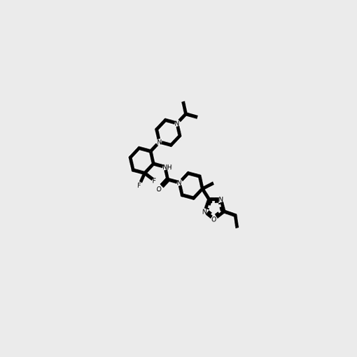 CCc1nc(C2(C)CCN(C(=O)NC3C(N4CCN(C(C)C)CC4)CCCC3(F)F)CC2)no1